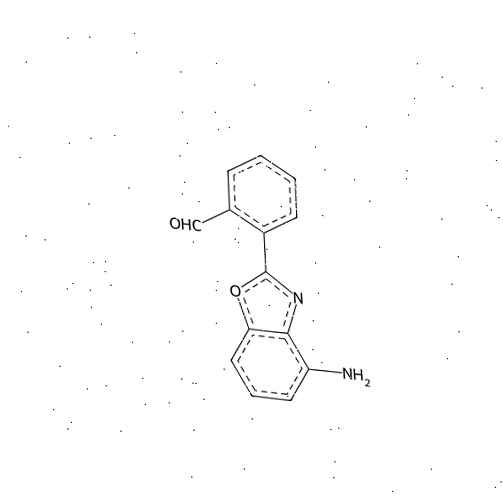 Nc1cccc2oc(-c3ccccc3C=O)nc12